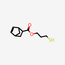 O=C(OCCCS)C1CC2C=CC1C2